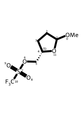 COC1CC[C@@H](COS(=O)(=O)C(F)(F)F)O1